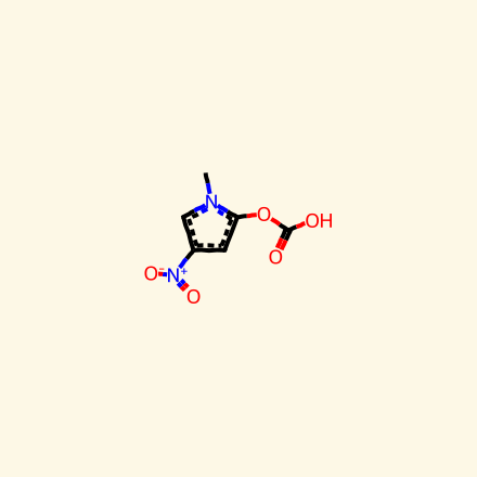 Cn1cc([N+](=O)[O-])cc1OC(=O)O